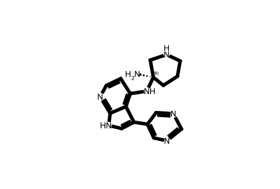 N[C@@]1(Nc2ccnc3[nH]cc(-c4cncnc4)c23)CCCNC1